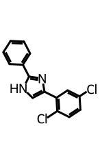 Clc1ccc(Cl)c(-c2c[nH]c(-c3ccccc3)n2)c1